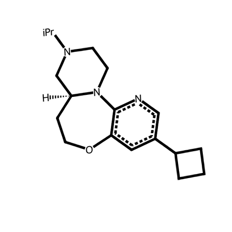 CC(C)N1CCN2c3ncc(C4CCC4)cc3OCC[C@H]2C1